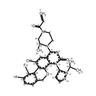 C=CC(=O)N1CCN(c2nc(=O)n(-c3ccnn3C(C)C)c3c4c(c(Cl)cc23)-c2c(ccc(F)c2F)CO4)[C@@H](C)C1